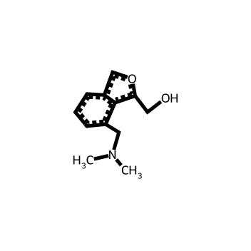 CN(C)Cc1cccc2coc(CO)c12